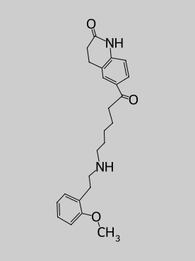 COc1ccccc1CCNCCCCCC(=O)c1ccc2c(c1)CCC(=O)N2